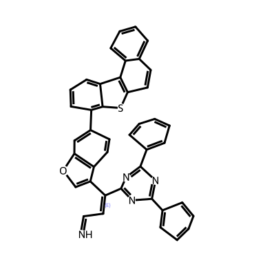 N=C/C=C(/c1nc(-c2ccccc2)nc(-c2ccccc2)n1)c1coc2cc(-c3cccc4c3sc3ccc5ccccc5c34)ccc12